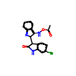 CC(=O)ONC1=c2ccccc2=NC1C1C(=O)Nc2cc(Br)ccc21